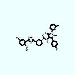 CCOc1ccc(Cl)cc1-c1nnc(C2CCC[C@@H](C(=O)Nc3c(-c4ccc(F)cc4)n(C)n(-c4cccc(C)n4)c3=O)C2)o1